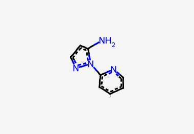 Nc1ccnn1-c1c[c]ccn1